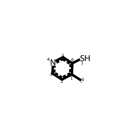 [CH2]c1ccncc1S